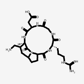 N=C(N)NCCC[C@@H]1NC(=O)C2CCC3CC(CN)[C@@H](NC(=O)C(CC(=O)O)NC(=O)CNC1=O)C(=O)N32